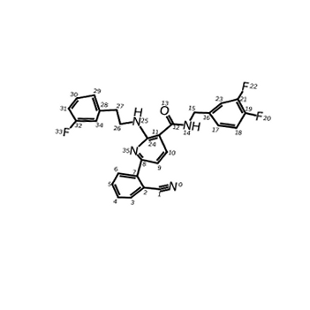 N#Cc1ccccc1-c1ccc(C(=O)NCc2ccc(F)c(F)c2)c(NCCc2cccc(F)c2)n1